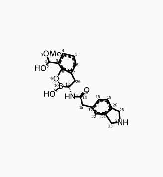 COC(O)c1cccc2c1OB(O)[C@@H](NC(=O)Cc1ccc3c(c1)CNC3)C2